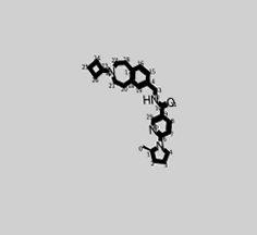 C[C@@H]1CCCN1c1ccc(C(=O)NCc2ccc3c(c2)CCN(C2CCC2)CC3)cn1